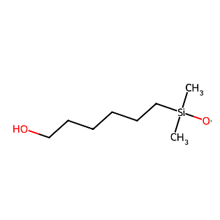 C[Si](C)([O])CCCCCCO